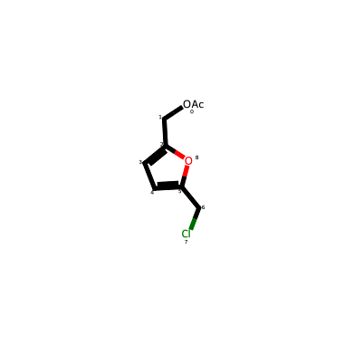 CC(=O)OCc1ccc(CCl)o1